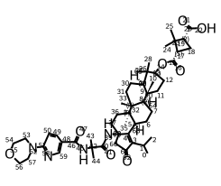 CC(C)C1=C2[C@H]3CC[C@@H]4[C@@]5(C)CC[C@H](OC(=O)[C@H]6C[C@@H](C(=O)O)C6(C)C)C(C)(C)[C@@H]5CC[C@@]4(C)[C@]3(C)CC[C@@]2(NC(=O)C(C)(C)NC(=O)c2ccc(N3CCOCC3)nc2)CC1=O